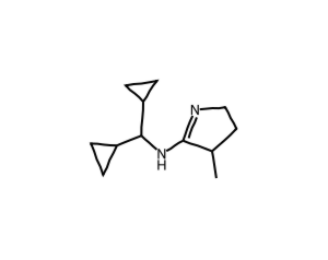 CC1CCN=C1NC(C1CC1)C1CC1